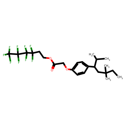 CCC(C)(C)CC(c1ccc(OCC(=O)OCCC(F)(F)C(F)(F)C(F)(F)C(F)(F)F)cc1)C(C)C